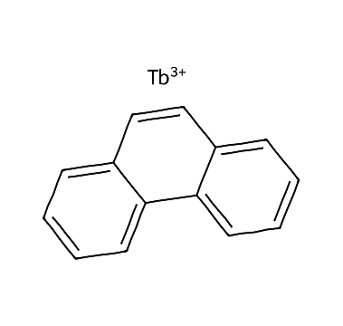 [Tb+3].c1ccc2c(c1)ccc1ccccc12